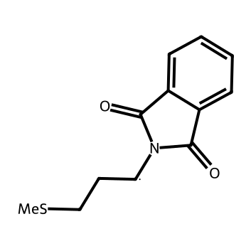 CSCC[CH]N1C(=O)c2ccccc2C1=O